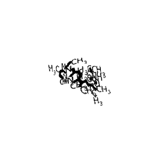 CCc1nc2c(C)cc(C)nc2n1CC1CCC(C(CC)CCC(C(C)C)S(=O)(=O)NC(C)(C)C)C(C)NC1